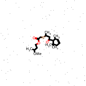 COC(C)CCOC(=O)CSC(C)CC(=O)C1C(C)C=CCC1(C)C